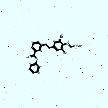 COCOc1c(Br)cc(CCc2cccc(C(=O)Sc3ccccc3)c2)cc1Br